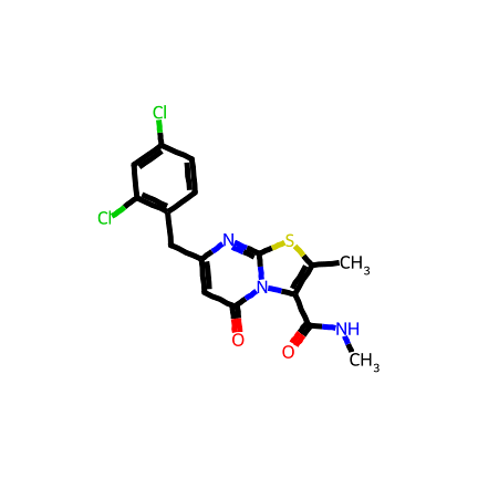 CNC(=O)c1c(C)sc2nc(Cc3ccc(Cl)cc3Cl)cc(=O)n12